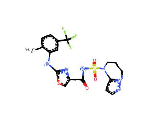 Cc1ccc(C(F)(F)F)cc1Nc1nc(C(=O)NS(=O)(=O)N2CCCn3nccc32)co1